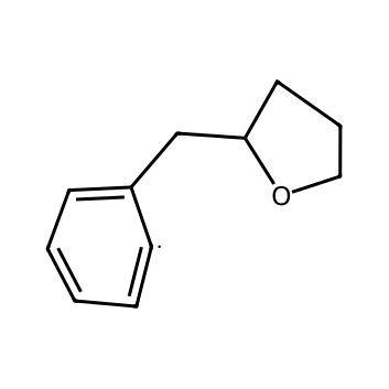 [c]1ccccc1CC1CCCO1